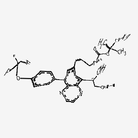 CC(C)(C)OC(=O)NCc1cc(-c2ccc(OC(F)(F)F)cc2)c2nccnc2c1[C@@H](O)CO